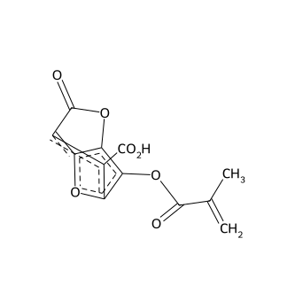 C=C(C)C(=O)Oc1c2c3oc1c(C(=O)O)c3C(=O)O2